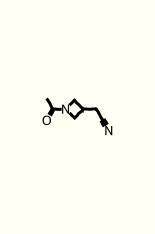 CC(=O)N1C[C](CC#N)C1